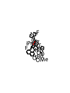 COCOc1cc(-c2nc(N3CCCN3C(=O)OC(C)(C)C)c3cnc(OC[C@@]45CCCN4C[C@H](F)C5)nc3c2F)c2c(C#C[Si](C(C)C)(C(C)C)C(C)C)c(F)ccc2c1